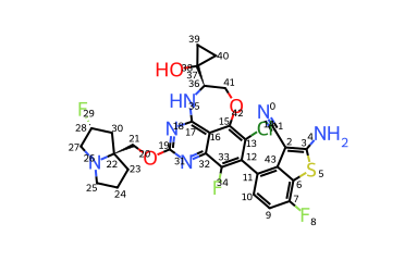 N#Cc1c(N)sc2c(F)ccc(-c3c(Cl)c4c5c(nc(OC[C@@]67CCCN6C[C@H](F)C7)nc5c3F)N[C@@H](C3(O)CC3)CO4)c12